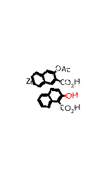 CC(=O)Oc1cc2ccccc2cc1C(=O)O.O=C(O)c1c(O)ccc2ccccc12.[Zn]